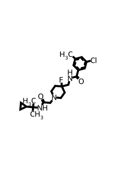 Cc1cc(Cl)cc(C(=O)NCC2(F)CCN(CC(=O)NC(C)(C)C3CC3)CC2)c1